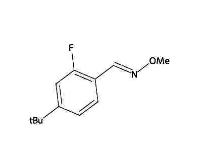 CO/N=C/c1ccc(C(C)(C)C)cc1F